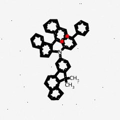 CC1(C)c2ccc(N(c3ccc(-c4ccccc4)cc3)c3ccc4ccccc4c3-c3cccc4ccccc34)cc2-c2ccc3ccccc3c21